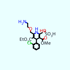 CCOC(=O)C1=C(COCCN)NC(C)=C(C(=O)OC)C1c1ccccc1Cl.O=S(=O)(O)O